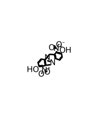 O=[N+]([O-])c1c(O)ccc2c1CN1CN2Cc2c1ccc(O)c2[N+](=O)[O-]